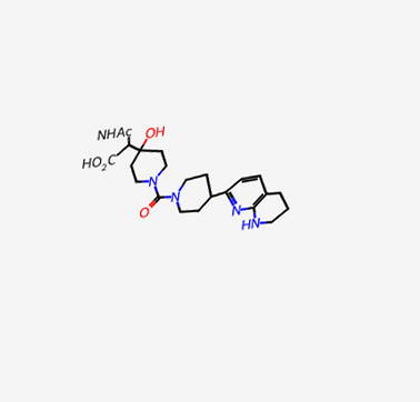 CC(=O)NC(C(=O)O)C1(O)CCN(C(=O)N2CCC(c3ccc4c(n3)NCCC4)CC2)CC1